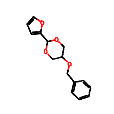 c1ccc(COC2COC(c3ccco3)OC2)cc1